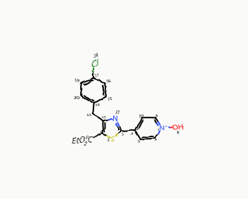 CCOC(=O)c1sc(-c2cc[n+](O)cc2)nc1Cc1ccc(Cl)cc1